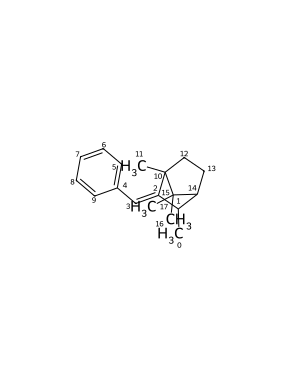 CC1C(=Cc2ccccc2)C2(C)CCC1C2(C)C